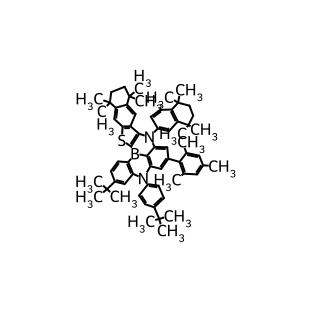 Cc1cc(C)c(-c2cc3c4c(c2)N(c2ccc5c(c2)C(C)(C)CCC5(C)C)c2c(sc5cc6c(cc25)C(C)(C)CCC6(C)C)B4c2ccc(C(C)(C)C)cc2N3c2ccc(C(C)(C)C)cc2)c(C)c1